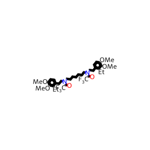 CCc1c(CCN(CCCCCCCN(CCc2ccc(OC)c(OC)c2CC)C(=O)C(F)(F)F)C(=O)C(F)(F)F)ccc(OC)c1OC